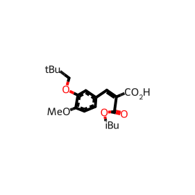 CCC(C)OC(=O)C(=Cc1ccc(OC)c(OCC(C)(C)C)c1)C(=O)O